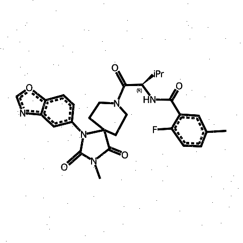 Cc1ccc(F)c(C(=O)N[C@@H](C(=O)N2CCC3(CC2)C(=O)N(C)C(=O)N3c2ccc3ocnc3c2)C(C)C)c1